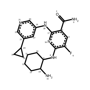 NC(=O)c1cc(F)c(NC2CCCCC2N)nc1Nc1cncc(C2CC2)c1